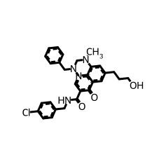 CN1CN(Cc2ccccc2)n2cc(C(=O)NCc3ccc(Cl)cc3)c(=O)c3cc(CCCO)cc1c32